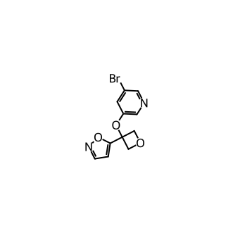 Brc1cncc(OC2(c3ccno3)COC2)c1